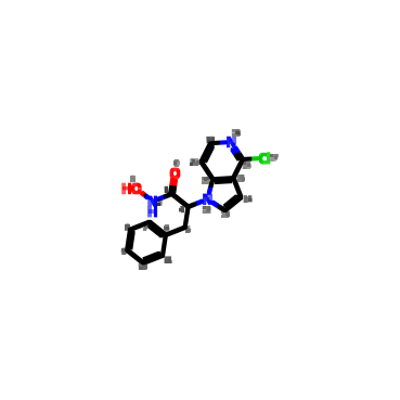 O=C(NO)C(Cc1ccccc1)n1ccc2c(Cl)nccc21